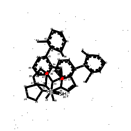 Cc1cccc(C)c1-c1cccc2c1C=C[CH]2[Hf]([CH3])([CH3])(=[SiH2])([CH]1CCCC1)([CH]1CCCC1)[CH]1C=Cc2c(-c3c(C)cccc3C)cccc21